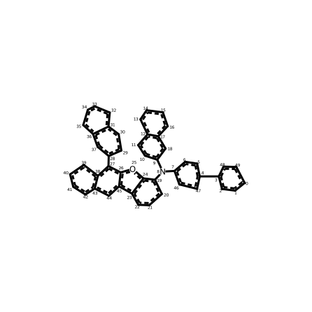 c1ccc(-c2ccc(N(c3ccc4ccccc4c3)c3cccc4c3oc3c(-c5ccc6ccccc6c5)c5ccccc5cc34)cc2)cc1